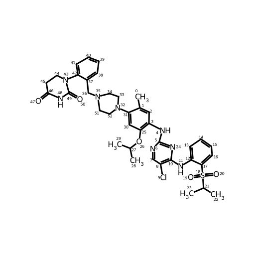 Cc1cc(Nc2ncc(Cl)c(Nc3ccccc3S(=O)(=O)C(C)C)n2)c(OC(C)C)cc1N1CCN(Cc2ccccc2N2CCC(=O)NC2=O)CC1